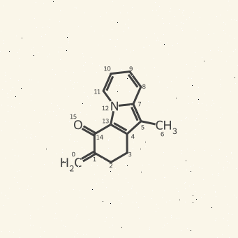 C=C1CCc2c(C)c3ccccn3c2C1=O